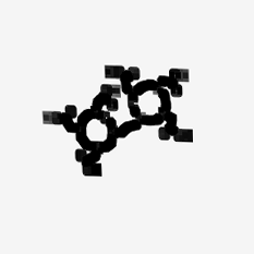 O=C(O)CN1CCN(CCCN2CCN(CC(=O)O)CCN(CC(=O)O)CCN(CC(=O)O)CC2)CCN(CC(=O)O)CCN(CC(=O)O)CC1